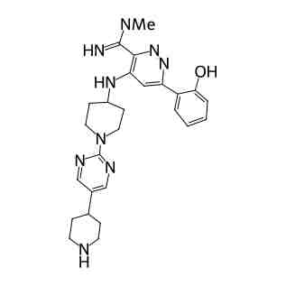 CNC(=N)c1nnc(-c2ccccc2O)cc1NC1CCN(c2ncc(C3CCNCC3)cn2)CC1